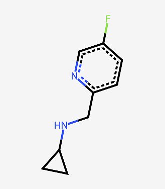 Fc1ccc(CNC2CC2)nc1